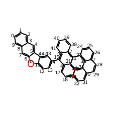 c1ccc2cc3c(cc2c1)oc1ccc(-c2c4ccccc4c(-c4cccc5ccc6ccccc6c45)c4ccccc24)cc13